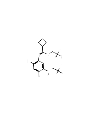 Cc1cc(F)c(/N=C(\NCC(F)(F)F)C2CCC2)cc1[S+]([O-])CC(F)(F)F